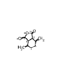 C=C1CCC(=C)C2C(=O)OC(=O)C12